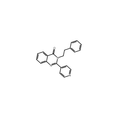 O=c1c2ccccc2nc(-c2ccncc2)n1CCc1ccccc1